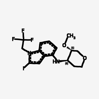 CO[C@@H]1COCC[C@H]1Nc1cccc2c1cc(I)n2CC(F)(F)F